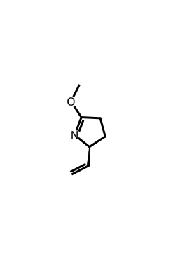 C=C[C@@H]1CCC(OC)=N1